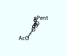 CCCCCc1ccc(-c2cc3ccc(OCCC/C=C/CCCOC(C)=O)cc3oc2=O)cc1